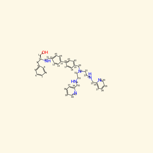 OC[C@H](Cc1ccccc1)NCc1ccc(-c2ccc(CN(CCNCc3ccccn3)CCNCc3ccccn3)cc2)cc1